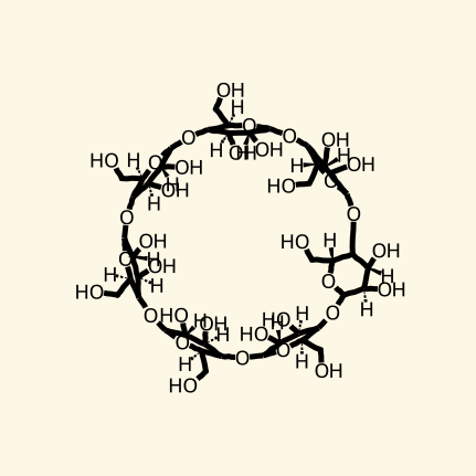 OC[C@H]1OC2OC3[C@@H](CO)OC(OC4[C@@H](CO)OC(OC5[C@@H](CO)OC(OC6[C@@H](CO)OC(OC7[C@@H](CO)OC(OC8[C@@H](CO)OC(OC1[C@H](O)C2O)[C@H](O)[C@H]8O)[C@H](O)[C@H]7O)[C@H](O)[C@H]6O)[C@H](O)[C@H]5O)[C@H](O)[C@H]4O)[C@H](O)[C@H]3O